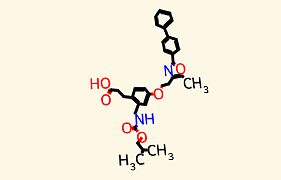 Cc1oc(-c2ccc(-c3ccccc3)cc2)nc1CCOc1ccc(CCC(=O)O)c(CNC(=O)OCC(C)C)c1